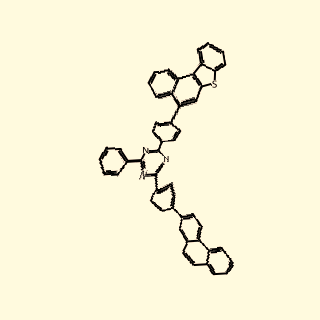 c1ccc(-c2nc(-c3ccc(-c4ccc5c(ccc6ccccc65)c4)cc3)nc(-c3ccc(-c4cc5sc6ccccc6c5c5ccccc45)cc3)n2)cc1